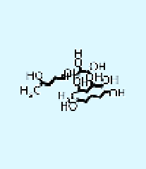 CC(O)CC(O)CO.CC(O)CCCO.CCCC(O)CO.OCCCCCO